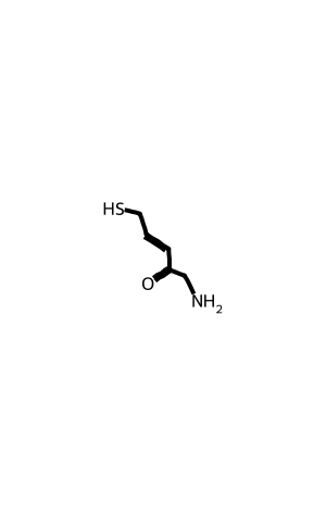 NCC(=O)C=CCS